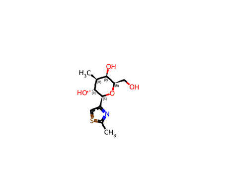 Cc1nc([C@@H]2O[C@H](CO)[C@H](O)[C@H](C)[C@H]2O)cs1